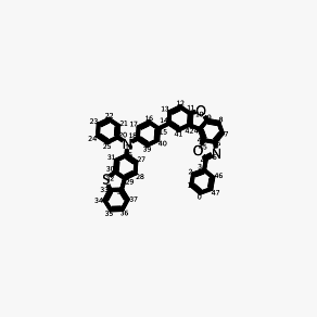 c1ccc(-c2nc3ccc4oc5ccc(-c6ccc(N(c7ccccc7)c7ccc8c(c7)sc7ccccc78)cc6)cc5c4c3o2)cc1